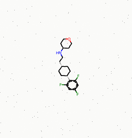 Fc1cc(F)c([C@H]2CC[C@@H](CCNC3CCOCC3)CC2)c(F)c1